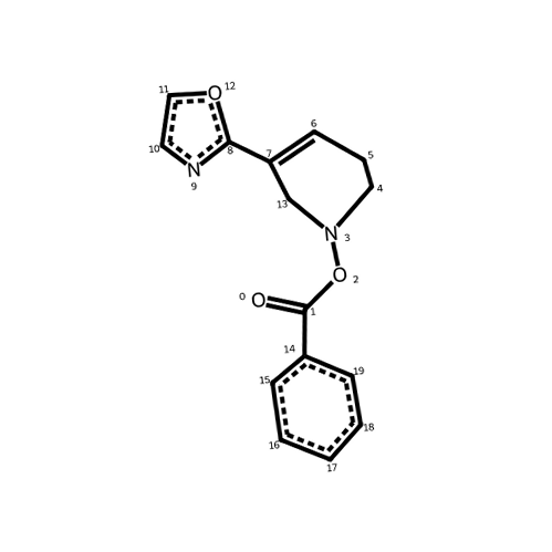 O=C(ON1CCC=C(c2ncco2)C1)c1ccccc1